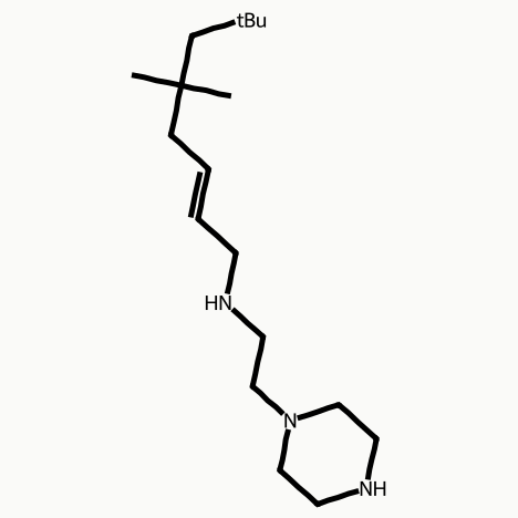 CC(C)(C)CC(C)(C)CC=CCNCCN1CCNCC1